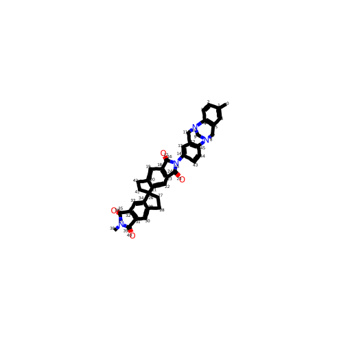 Cc1ccc2c(c1)CN1CN2Cc2cc(N3C(=O)c4cc5c(cc4C3=O)C3(CCc4cc6c(cc43)C(=O)N(C)C6=O)CC5)ccc21